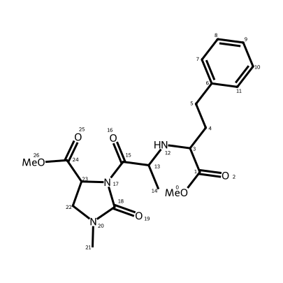 COC(=O)C(CCc1ccccc1)NC(C)C(=O)N1C(=O)N(C)CC1C(=O)OC